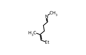 CC/C=C(/C)CC/C=N/C